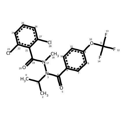 CC(C)N(C(=O)c1ccc(OC(F)(F)F)cc1)N(C)C(=O)c1c(Cl)cccc1Cl